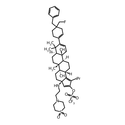 CC(C)C1=C2[C@H]3CC[C@@H]4[C@@]5(C)CC=C(C6=CCC(CF)(Cc7ccccc7)CC6)C(C)(C)[C@@H]5CC[C@@]4(C)[C@]3(C)CC[C@@]2(NCCN2CCS(=O)(=O)CC2)C=C1OS(=O)(=O)C(F)(F)F